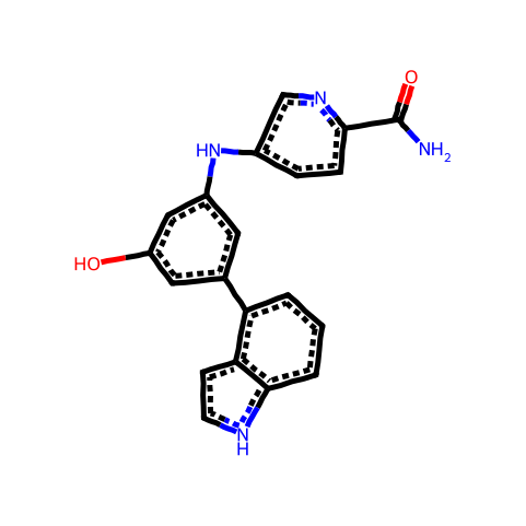 NC(=O)c1ccc(Nc2cc(O)cc(-c3cccc4[nH]ccc34)c2)cn1